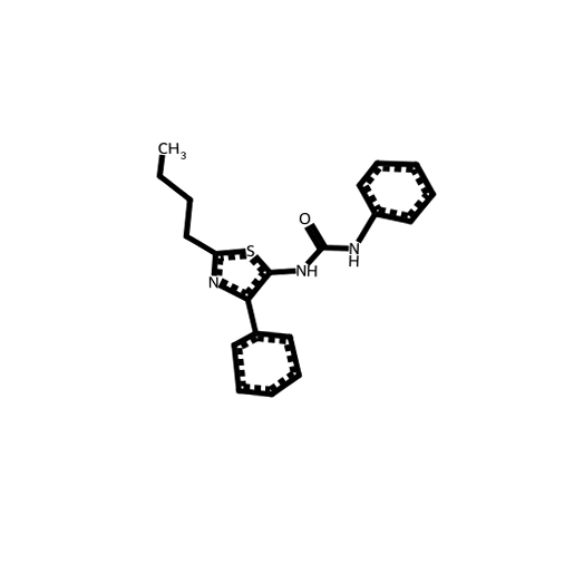 CCCCc1nc(-c2ccccc2)c(NC(=O)Nc2ccccc2)s1